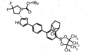 CN1C2CCC1c1c(-c3ccc(-c4c[nH]c([C@@H]5CC(F)(F)CN5C(=O)OC(C)(C)C)n4)cc3)ccc(B3OC(C)(C)C(C)(C)O3)c12